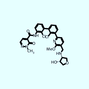 COc1nc(-c2cccc(-c3cccc(NC(=O)c4ccnn(C)c4=O)c3Cl)c2Cl)ccc1CN[C@@H]1COC[C@@H]1O